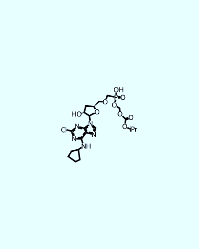 CC(C)OC(=O)OCOP(=O)(O)COC[C@@H]1C[C@@H](O)C(n2cnc3c(NC4CCCC4)nc(Cl)nc32)O1